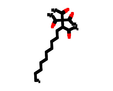 CCCCCCCCCCC(C(C)=O)C(C(C)=O)(C(C)=O)C(C)=O